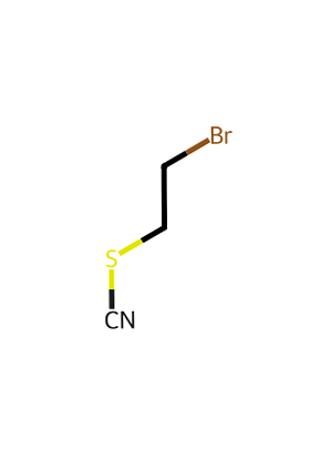 N#CSCCBr